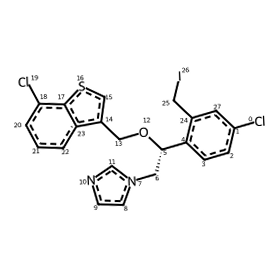 Clc1ccc([C@H](Cn2ccnc2)OCc2csc3c(Cl)cccc23)c(CI)c1